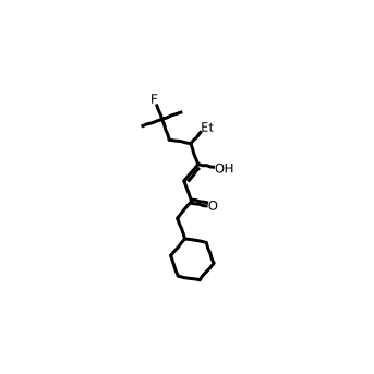 CCC(CC(C)(C)F)/C(O)=C/C(=O)CC1CCCCC1